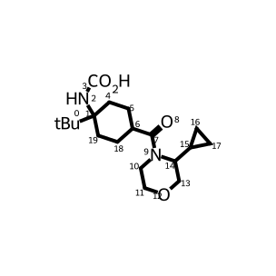 CC(C)(C)C1(NC(=O)O)CCC(C(=O)N2CCOCC2C2CC2)CC1